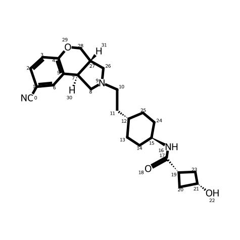 N#Cc1ccc2c(c1)[C@@H]1CN(CC[C@H]3CC[C@H](NC(=O)[C@H]4C[C@@H](O)C4)CC3)C[C@H]1CO2